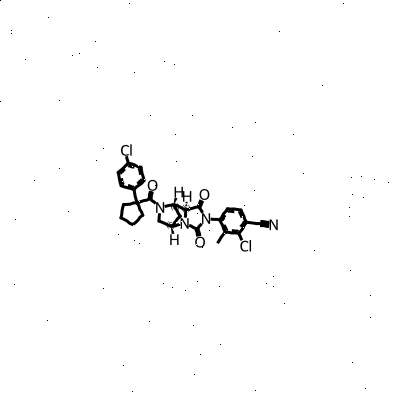 Cc1c(N2C(=O)[C@@H]3[C@@H]4C[C@@H](CN4C(=O)C4(c5ccc(Cl)cc5)CCCC4)N3C2=O)ccc(C#N)c1Cl